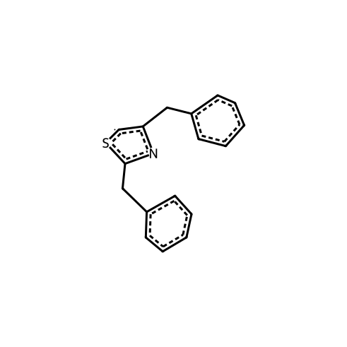 [c]1sc(Cc2ccccc2)nc1Cc1ccccc1